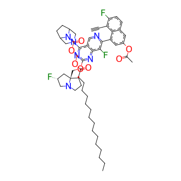 C#Cc1c(F)ccc2cc(OC(C)=O)cc(-c3ncc4c(N5CC6CCC(C5)N6C(=O)OCOC(=O)CCCCCCCCCCCCCCC)nc(OC[C@@]56CCCN5C[C@H](F)C6)nc4c3F)c12